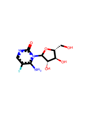 Nc1c(F)cnc(=O)n1C1O[C@H](CO)[C@@H](O)[C@@H]1O